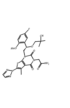 COc1ccc(F)cc1[C@H](Cn1c(=O)n(CC(N)=O)c(=O)c2c(C)c(-n3nccn3)sc21)OCC(C)(C)C#N